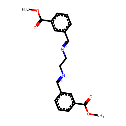 COC(=O)c1cccc(/C=N/CC/N=C/c2cccc(C(=O)OC)c2)c1